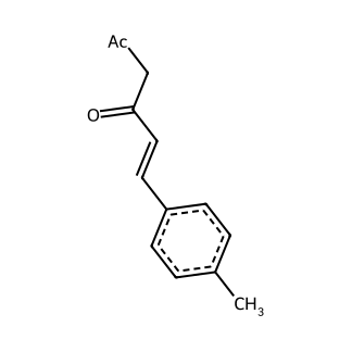 CC(=O)CC(=O)C=Cc1ccc(C)cc1